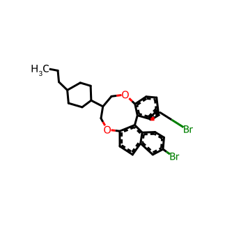 CCCC1CCC(C2COc3ccc4cc(Br)ccc4c3-c3c(ccc4cc(Br)ccc34)OC2)CC1